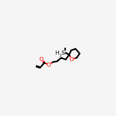 C=CC(=O)OCCCCC1([SiH2]C)CCCCO1